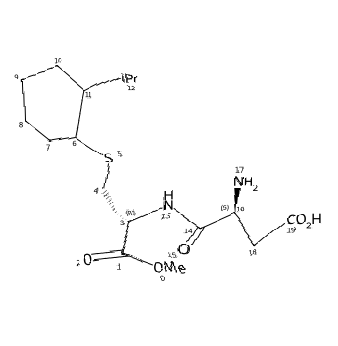 COC(=O)[C@H](CSC1CCCCC1C(C)C)NC(=O)[C@@H](N)CC(=O)O